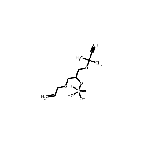 C#CC(C)(C)OCC(COCC=C)OP(O)(O)(F)F